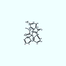 COC(=O)C1(c2ccccc2)c2ccccc2-c2c1c1cc(F)ccc1n2C